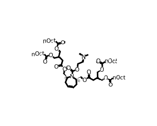 CCCCCCCCC(=O)OCC(COC(=O)CCCCCCCC)CC(=O)OC[C@@H]1CC=CC[C@@H](COC(=O)CC(COC(=O)CCCCCCCC)COC(=O)CCCCCCCC)N1C(=O)OCCN(C)C